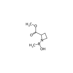 COC(=O)C1CCN1B(C)O